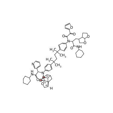 CC(C)(CCC(C)(C)c1ccc(N(C(=O)[C@H]2C3CO[C@H]4OC[C@@H]2C4C3)C(C(=O)NC2CCCCC2)c2cccnc2)cc1)c1ccc(N(C(=O)C(=O)c2ccco2)C(CC2COC3OCCC23)C(=O)NC2CCCCC2)cc1